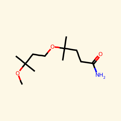 COC(C)(C)CCOC(C)(C)CCC(N)=O